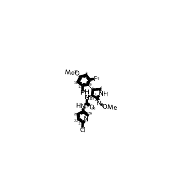 CON=C1NC[C@@H](c2c(F)cc(OC)cc2F)[C@@H]1NC(=O)Nc1ccc(Cl)nc1